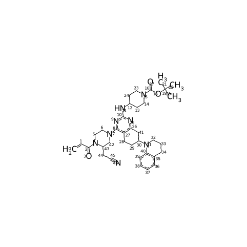 C=CC(=O)N1CCN(c2nc(NC3CCN(C(=O)OC(C)(C)C)CC3)nc3c2CCC(N2CCCc4ccccc42)C3)CC1CC#N